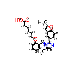 Cc1cc2cc(-c3ncc(C)n3Cc3ccccc3OCCCCCC(=O)O)ccc2o1